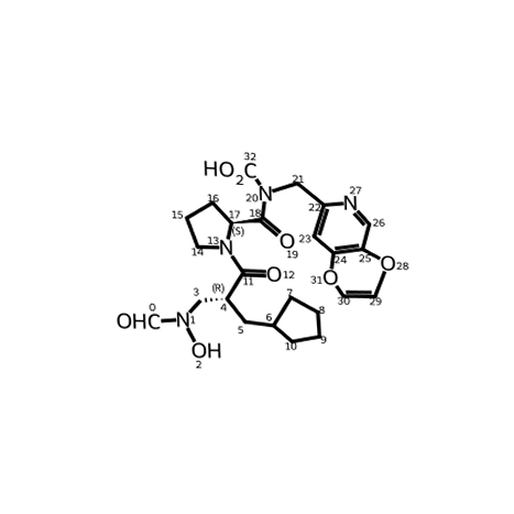 O=CN(O)C[C@@H](CC1CCCC1)C(=O)N1CCC[C@H]1C(=O)N(Cc1cc2c(cn1)OC=CO2)C(=O)O